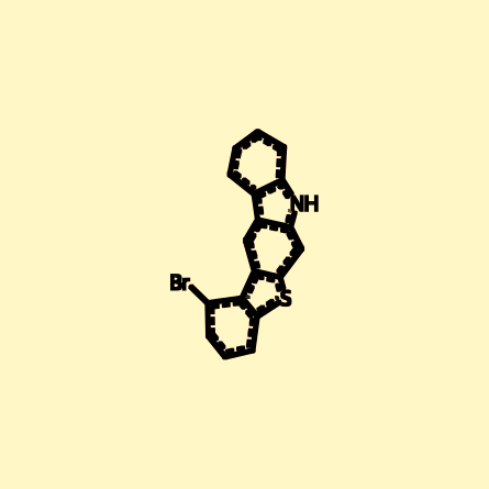 Brc1cccc2sc3cc4[nH]c5ccccc5c4cc3c12